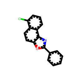 Clc1cccc2c1ccc1oc(-c3ccccc3)nc12